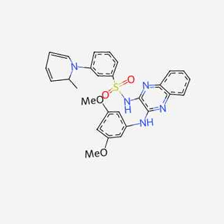 COc1cc(Nc2nc3ccccc3nc2NS(=O)(=O)c2cccc(N3C=CC=CC3C)c2)cc(OC)c1